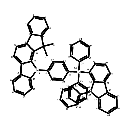 CC1(C)c2ccccc2-c2ccc3c4ccccc4n(-c4ccc([Si](c5ccccc5)(c5ccccc5)c5cccc6c7ccccc7n(-c7ccccc7)c56)cc4)c3c21